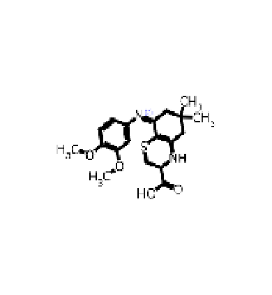 COc1ccc(/N=C2/CC(C)(C)CC3=C2SCC(C(=O)O)N3)cc1OC